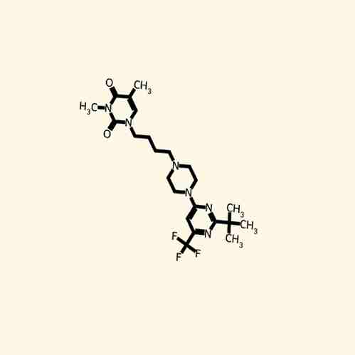 Cc1cn(CCCCN2CCN(c3cc(C(F)(F)F)nc(C(C)(C)C)n3)CC2)c(=O)n(C)c1=O